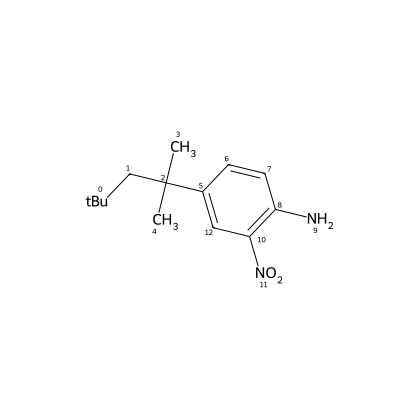 CC(C)(C)CC(C)(C)c1ccc(N)c([N+](=O)[O-])c1